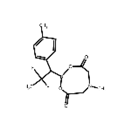 Cc1ccc(C(B2OC(=O)CN(C)CC(=O)O2)C(C)(F)F)cc1